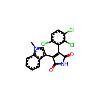 Cn1cc(C2=C(c3c(Cl)ccc(Cl)c3Cl)C(=O)NC2=O)c2ccccc21